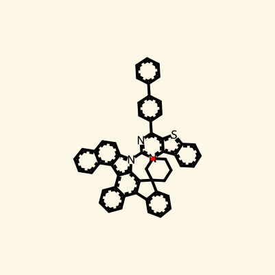 c1ccc(-c2ccc(-c3nc(-n4c5ccc6ccccc6c5c5c6ccccc6c6c(c54)C4(CCCCC4)c4ccccc4-6)nc4c3sc3ccccc34)cc2)cc1